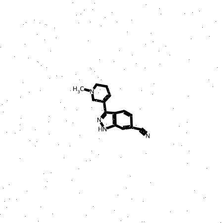 CN1CCC=C(c2n[nH]c3cc(C#N)ccc23)C1